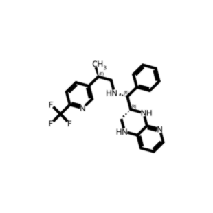 C[C@@H](CN[C@H](c1ccccc1)[C@H]1CNc2cccnc2N1)c1ccc(C(F)(F)F)nc1